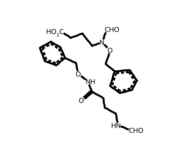 O=CN(CCCC(=O)O)OCc1ccccc1.O=CNCCCC(=O)NOCc1ccccc1